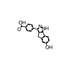 O=C(O)c1ccc(-c2n[nH]c3c2Cc2cc(O)ccc2-3)cc1